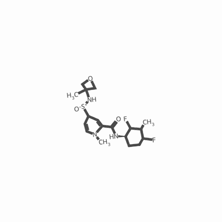 CC1C(F)CC[C@@H](NC(=O)C2=CC([S+]([O-])NC3(C)COC3)C=CN2C)C1F